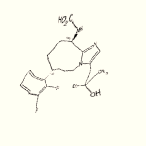 CCC(C)(O)c1cnc2n1C[C@H](c1cccc(F)c1F)CC[C@H]2NC(=O)O